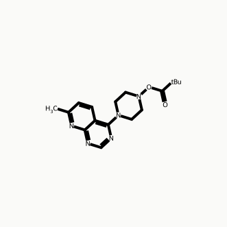 Cc1ccc2c(N3CCN(OC(=O)C(C)(C)C)CC3)ncnc2n1